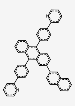 c1ccc(-c2ccc(-c3c4ccccc4c(-c4ccc(-c5ccccn5)cc4)c4cc(-c5ccc6ccccc6c5)ccc34)cc2)nc1